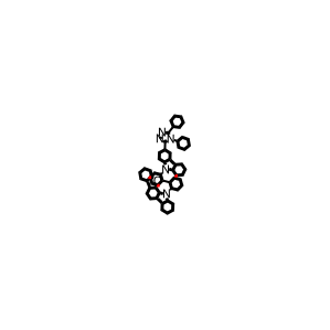 c1ccc(-c2nnc(-c3ccc4c(c3)c3ccccc3n4-c3ccccc3-c3ccccc3-n3c4ccccc4c4ccc5c6ccccc6oc5c43)n2-c2ccccc2)cc1